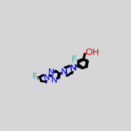 OCc1cccc(N2CCN(c3cnc(N4CC[C@@H](F)C4)nc3)CC2)c1F